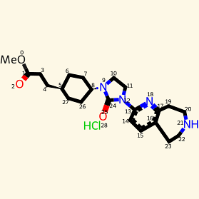 COC(=O)CC[C@H]1CC[C@H](N2CCN(c3ccc4c(n3)CCNCC4)C2=O)CC1.Cl